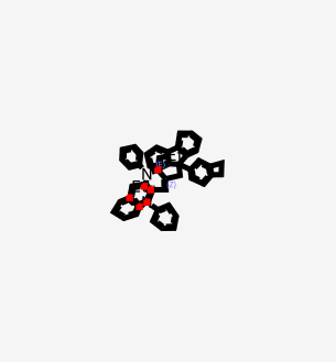 CC/C=C(\C(=C/[C@H](CC)N(c1ccccc1)c1ccccc1)CC1(c2ccc3c(c2)CC3)c2ccccc2-c2ccccc21)N(c1ccccc1)c1ccccc1